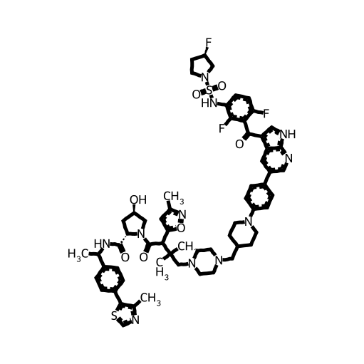 Cc1cc(C(C(=O)N2C[C@H](O)C[C@H]2C(=O)NC(C)c2ccc(-c3scnc3C)cc2)C(C)(C)CN2CCN(CC3CCN(c4ccc(-c5cnc6[nH]cc(C(=O)c7c(F)ccc(NS(=O)(=O)N8CC[C@@H](F)C8)c7F)c6c5)cc4)CC3)CC2)on1